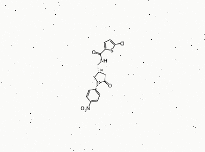 O=C(NC[C@@H]1CC(=O)N(c2ccc([N+](=O)[O-])cc2)C1)c1ccc(Cl)s1